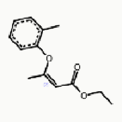 CCOC(=O)/C=C(/C)Oc1ccccc1C